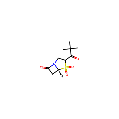 CC(C)(C)C(=O)C1CN2C(=O)C[C@H]2S1(=O)=O